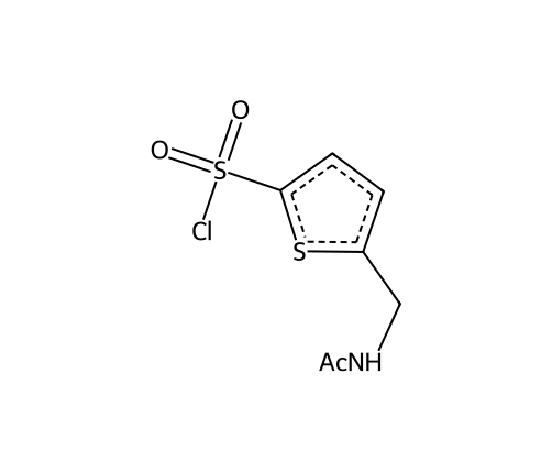 CC(=O)NCc1ccc(S(=O)(=O)Cl)s1